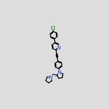 Clc1ccc(-c2ccc(C#Cc3ccc(N4CCC[C@H]4CN4CCCC4)cc3)nc2)cc1